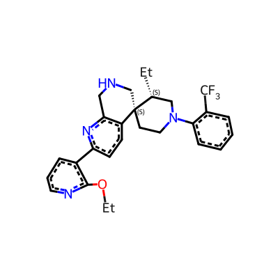 CCOc1ncccc1-c1ccc2c(n1)CNC[C@]21CCN(c2ccccc2C(F)(F)F)C[C@H]1CC